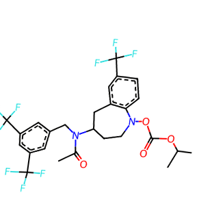 CC(=O)N(Cc1cc(C(F)(F)F)cc(C(F)(F)F)c1)C1CCN(OC(=O)OC(C)C)c2ccc(C(F)(F)F)cc2C1